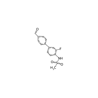 CS(=O)(=O)Nc1ccc(-c2ccc(C=O)cc2)cc1F